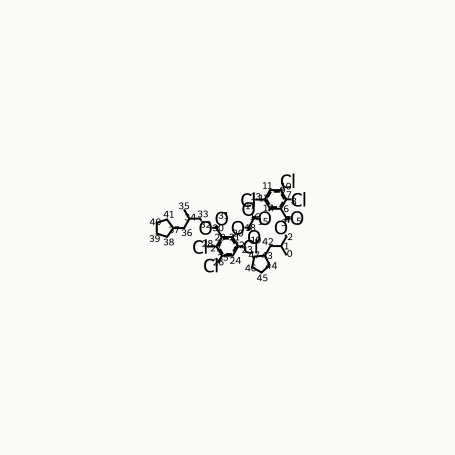 CC(COC(=O)c1c(Cl)c(Cl)cc(Cl)c1OC(=O)C(=O)Oc1c(Cl)cc(Cl)c(Cl)c1C(=O)OCC(C)CC1CCCC1)CC1CCCC1